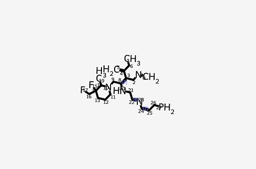 C=NC/C(C(=C)CC)=C(/CN1CCCC(F)(CF)C1C)NC/C=N/C=C\CP